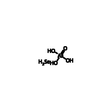 O=[As](O)(O)O.[SeH2]